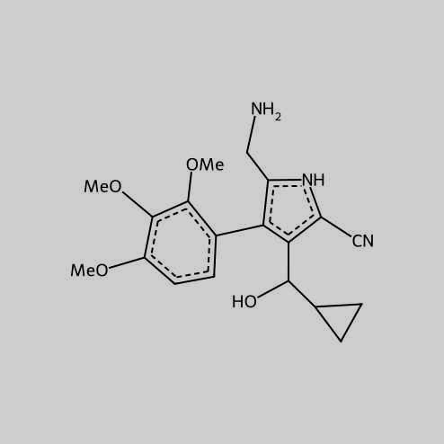 COc1ccc(-c2c(CN)[nH]c(C#N)c2C(O)C2CC2)c(OC)c1OC